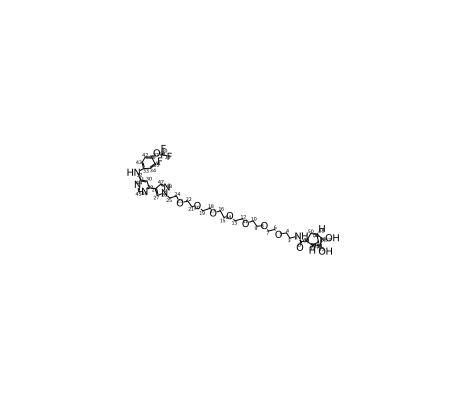 O=C(NCCOCCOCCOCCOCCOCCOCCOCCn1cc(-c2cc(Nc3ccc(OC(F)(F)F)cc3)ncn2)cn1)[C@H]1C[C@@H]2C[C@H]1[C@@H](O)[C@H]2O